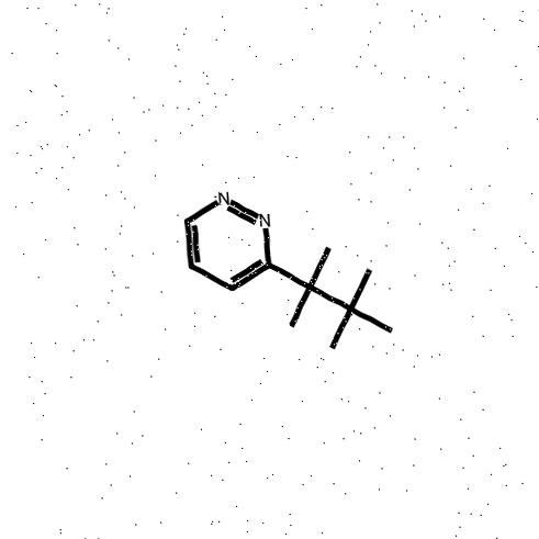 CC(C)(C)C(C)(C)c1cccnn1